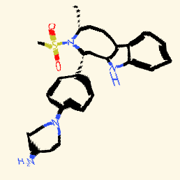 C[C@@H]1Cc2c([nH]c3ccccc23)[C@H](c2ccc(N3CC(N)C3)cc2)N1S(C)(=O)=O